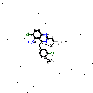 CCOC(=O)/C(C)=C/c1nc(Cc2ccc(OC)c(Cl)c2)c2c(N)c(Cl)ccc2n1